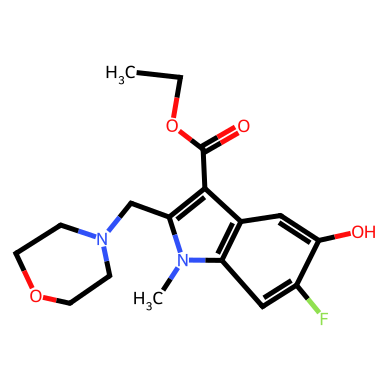 CCOC(=O)c1c(CN2CCOCC2)n(C)c2cc(F)c(O)cc12